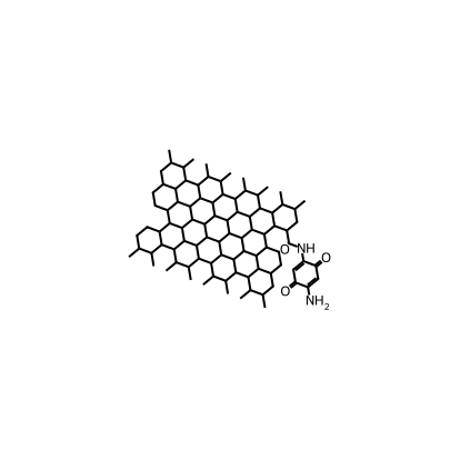 CC1CCC2C(C1C)C1C(C)C(C)C3C4C(C)C(C)C5C6C(C)C(C)CC7CCC8C(C76)C6C5C4C4C5C3C1C1C2C2CCC3CC(C)C(C)C7C3C2C2C3C7C(C)C(C)C7C9C(C)C(C)C%10C%11C(C)C(C)CC(C(=O)NC%12=CC(=O)C(N)=CC%12=O)C%11C8C8C%10C9C(C(C73)C5C12)C4C68